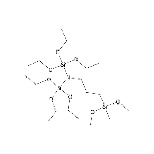 CCO[Si](OCC)(OCC)N(CCC[Si](C)(OC)OC)[Si](OCC)(OCC)OCC